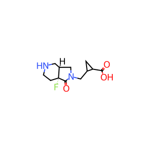 O=C(O)C1CC1CN1C[C@@H]2CNCC[C@]2(F)C1=O